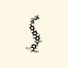 Cc1ccc(Oc2nc3c(F)c(-c4ccc(-c5ccc(CN6CC(NCC(F)(F)F)C6)cc5)cc4)c(F)cc3[nH]2)cc1C(=O)O